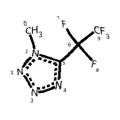 Cn1nnnc1C(F)(F)C(F)(F)F